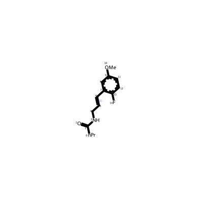 CCCC(=O)NC/C=C/c1cc(OC)ccc1F